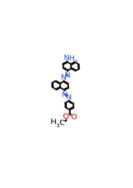 CCOC(=O)c1ccc(/N=N/c2ccc(/N=N/c3ccc(N)c4ccccc34)c3ccccc23)cc1